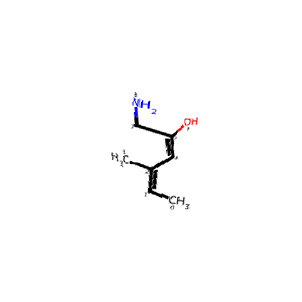 C/C=C(C)\C=C(\O)CN